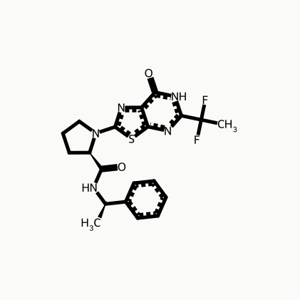 C[C@@H](NC(=O)[C@H]1CCCN1c1nc2c(=O)[nH]c(C(C)(F)F)nc2s1)c1ccccc1